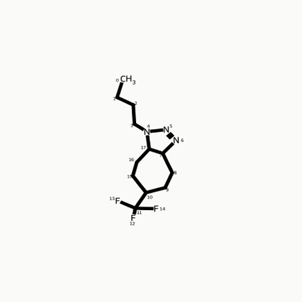 CCCCN1N=NC2CCC(C(F)(F)F)CCC21